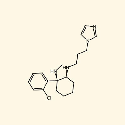 CN[C@]1(c2ccccc2Cl)CCCC[C@@H]1NCCCn1ccnc1